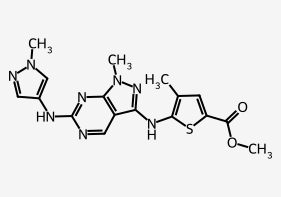 COC(=O)c1cc(C)c(Nc2nn(C)c3nc(Nc4cnn(C)c4)ncc23)s1